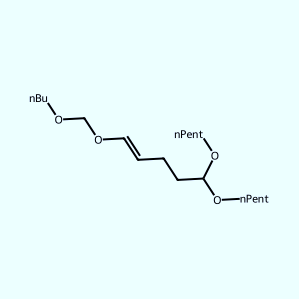 CCCCCOC(CCC=COCOCCCC)OCCCCC